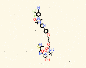 C=C1N(c2ccc(C#N)c(C(F)(F)F)c2F)C(=O)C(C)(C)N1c1ccc(-c2ccc(OCCCCOCC(=O)N[C@H](C(=O)N3C[C@H](O)C[C@H]3c3ncc(-c4scnc4C)o3)C(C)(C)C)cc2)nc1